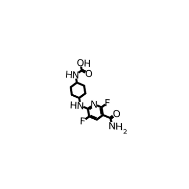 NC(=O)c1cc(F)c(NC2CCC(NC(=O)O)CC2)nc1F